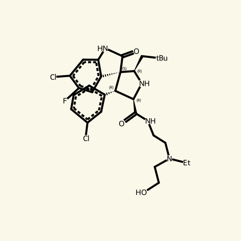 CCN(CCO)CCNC(=O)[C@@H]1N[C@H](CC(C)(C)C)[C@]2(C(=O)Nc3cc(Cl)c(F)cc32)[C@H]1c1cccc(Cl)c1